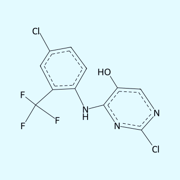 Oc1cnc(Cl)nc1Nc1ccc(Cl)cc1C(F)(F)F